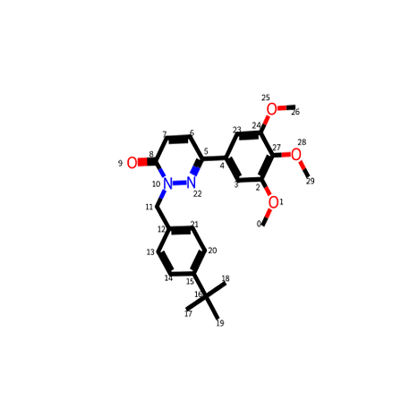 COc1cc(-c2ccc(=O)n(Cc3ccc(C(C)(C)C)cc3)n2)cc(OC)c1OC